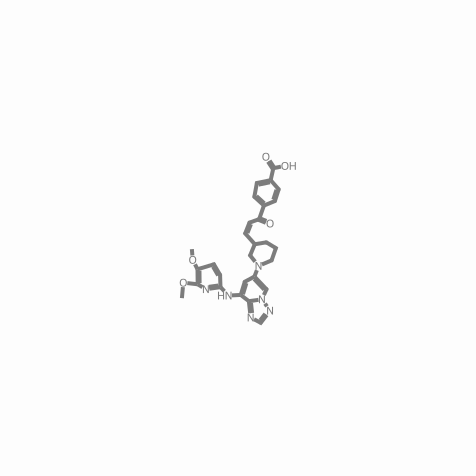 COc1ccc(Nc2cc(N3CCCC(/C=C\C(=O)c4ccc(C(=O)O)cc4)C3)cn3ncnc23)nc1OC